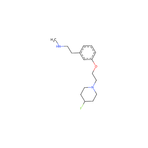 CNCCc1cccc(OCCN2CCC(F)CC2)c1